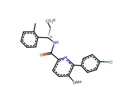 COc1ccc(C(=O)N[C@@H](CC(=O)O)c2ccccc2C)nc1-c1ccc(Cl)cc1